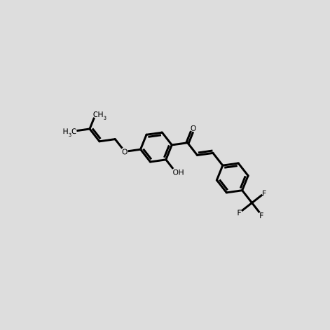 CC(C)=CCOc1ccc(C(=O)C=Cc2ccc(C(F)(F)F)cc2)c(O)c1